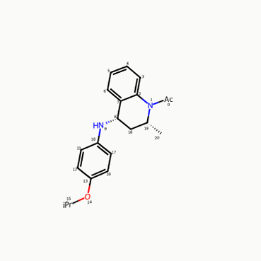 CC(=O)N1c2ccccc2[C@@H](Nc2ccc(OC(C)C)cc2)C[C@H]1C